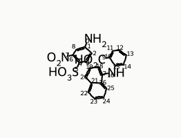 Nc1ccc(S(=O)(=O)O)c([N+](=O)[O-])c1.O=C(O)c1ccccc1Nc1cccc2ccccc12